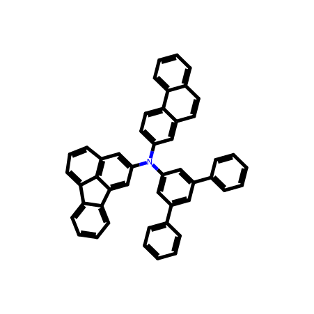 c1ccc(-c2cc(-c3ccccc3)cc(N(c3cc4c5c(cccc5c3)-c3ccccc3-4)c3ccc4c(ccc5ccccc54)c3)c2)cc1